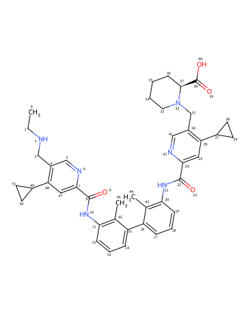 CCNCc1cnc(C(=O)Nc2cccc(-c3cccc(NC(=O)c4cc(C5CC5)c(CN5CCCC[C@H]5C(=O)O)cn4)c3C)c2C)cc1C1CC1